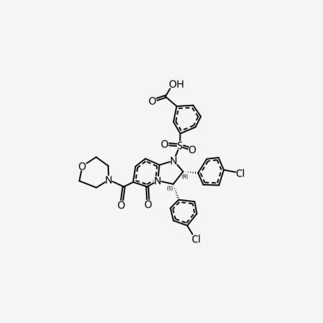 O=C(O)c1cccc(S(=O)(=O)N2c3ccc(C(=O)N4CCOCC4)c(=O)n3[C@@H](c3ccc(Cl)cc3)[C@H]2c2ccc(Cl)cc2)c1